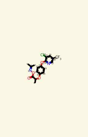 CC(C)=NOC(=O)C(C)Oc1ccc(Oc2ncc(C(F)(F)F)cc2Cl)cc1